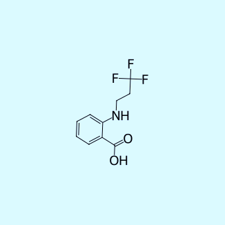 O=C(O)c1ccccc1NCCC(F)(F)F